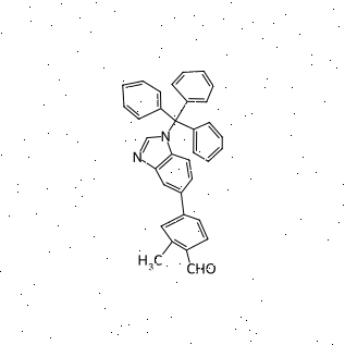 Cc1cc(-c2ccc3c(c2)ncn3C(c2ccccc2)(c2ccccc2)c2ccccc2)ccc1C=O